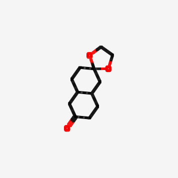 O=C1CCC2CC3(CCC2C1)OCCO3